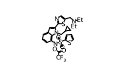 CCN(CC)Cc1cnc(-c2cc3cccc(N(OC(=O)C(F)(F)F)S(=O)(=O)c4cccs4)c3n2CC2CC2)s1